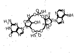 Nc1nc2c(ncn2[C@@H]2O[C@@H]3COP(=O)(S)O[C@@H]4C(F)[C@H](n5cnc6c(N)ncnc65)O[C@@H]4COP(=O)(S)OC2C3O)c(=O)[nH]1